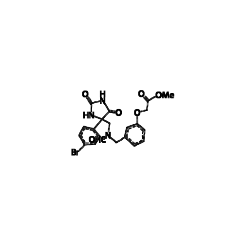 COC(=O)COc1cccc(CN(C=O)CC2(c3ccc(Br)cc3)NC(=O)NC2=O)c1